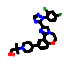 CC(C)(CO)N1CCC(c2ccc3c(c2)-c2nc(-c4ncnn4-c4ccc(F)cc4F)cn2CCO3)CC1